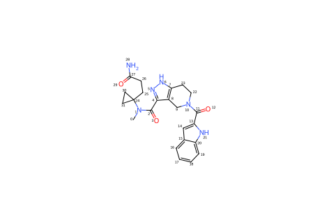 CN(C(=O)c1n[nH]c2c1CN(C(=O)c1cc3ccccc3[nH]1)CC2)C1(CCC(N)=O)CC1